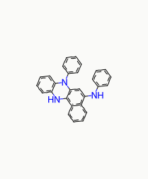 c1ccc(Nc2cc3c(c4ccccc24)Nc2ccccc2N3c2ccccc2)cc1